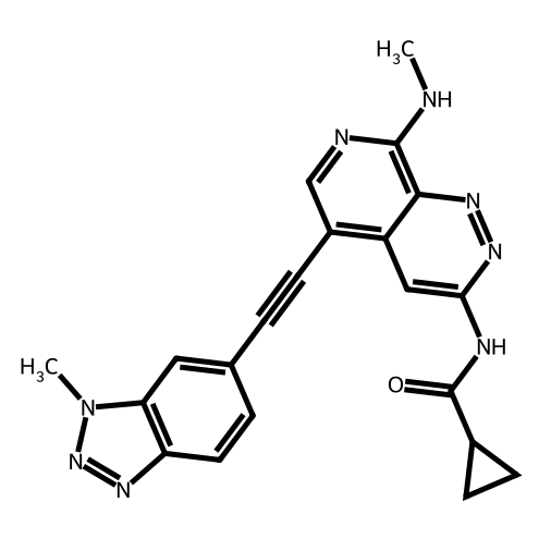 CNc1ncc(C#Cc2ccc3nnn(C)c3c2)c2cc(NC(=O)C3CC3)nnc12